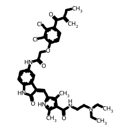 C=C(CC)C(=O)c1ccc(OCC(=O)Nc2ccc3c(c2)/C(=C/c2[nH]c(C)c(C(=O)NCCN(CC)CC)c2C)C(=O)N3)c(Cl)c1Cl